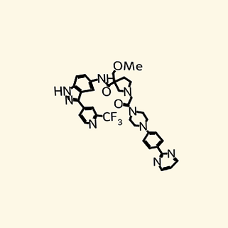 COCC1(C(=O)Nc2ccc3[nH]nc(-c4ccnc(C(F)(F)F)c4)c3c2)CCN(CC(=O)N2CCN(c3ccc(-c4ncccn4)cc3)CC2)C1